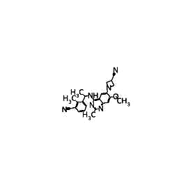 COc1cc2nc(C)nc(NC(C)c3cccc(C#N)c3C)c2cc1N1CC(C#N)C1